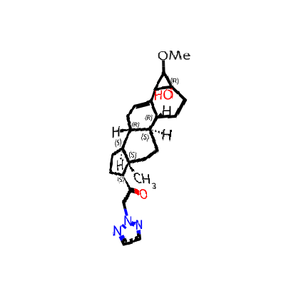 COC1C2C3=CC[C@@H]4[C@H](CC[C@]5(C)[C@@H](C(=O)Cn6nccn6)CC[C@@H]45)[C@H]3CC[C@]12O